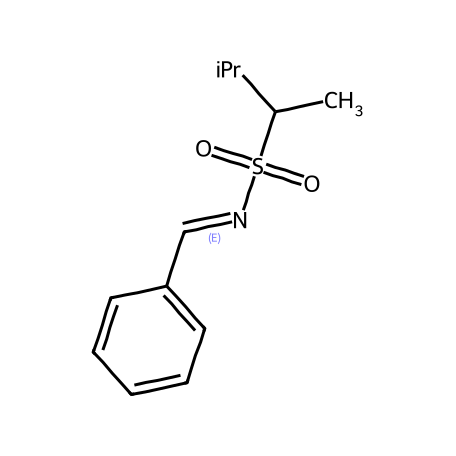 CC(C)C(C)S(=O)(=O)/N=C/c1ccccc1